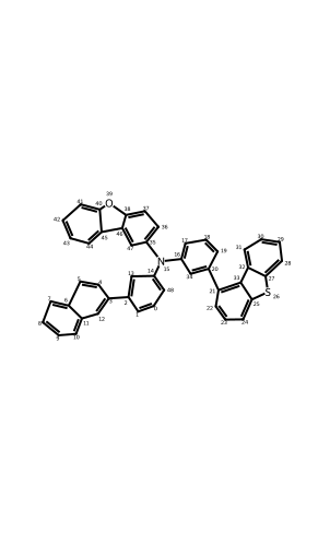 c1cc(-c2ccc3ccccc3c2)cc(N(c2cccc(-c3cccc4sc5ccccc5c34)c2)c2ccc3oc4ccccc4c3c2)c1